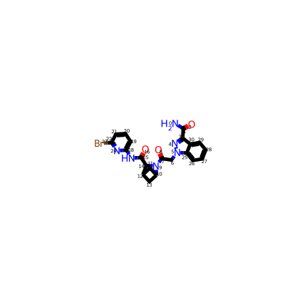 NC(=O)c1nn(CC(=O)N2C3CC(C3)C2C(=O)Nc2cccc(Br)n2)c2ccccc12